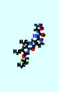 Cc1cc(C(C)N2Cc3c(ccnc3NC(=O)c3ccno3)C2=O)cnc1OCC(C)(F)F